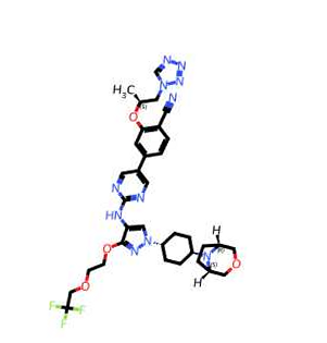 C[C@@H](Cn1cnnn1)Oc1cc(-c2cnc(Nc3cn([C@H]4CC[C@H](N5[C@@H]6CC[C@H]5COC6)CC4)nc3OCCOCC(F)(F)F)nc2)ccc1C#N